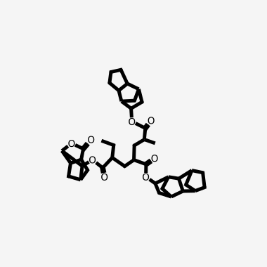 CCC(CC(CC(C)C(=O)OC1CC2CC1C1CCCC21)C(=O)OC1CC2CC1C1C3CCC(C3)C21)C(=O)OC1C2CC3C(=O)OC1C3C2